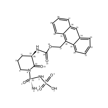 N[P@@](=O)(NS(=O)(=O)O)N1CCC[C@@H](NC(=O)OCc2c3ccccc3cc3ccccc23)C1=O